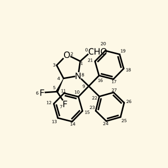 O=CC1OC[C@H](C(F)F)N1C(c1ccccc1)(c1ccccc1)c1ccccc1